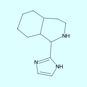 c1c[nH]c([C]2NCCC3CCCCC23)n1